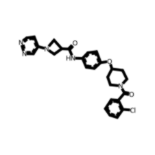 O=C(Nc1ccc(OC2CCN(C(=O)c3ccccc3Cl)CC2)cc1)C1CN(c2ccnnc2)C1